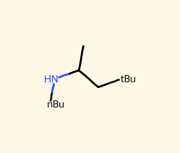 CCCCNC(C)CC(C)(C)C